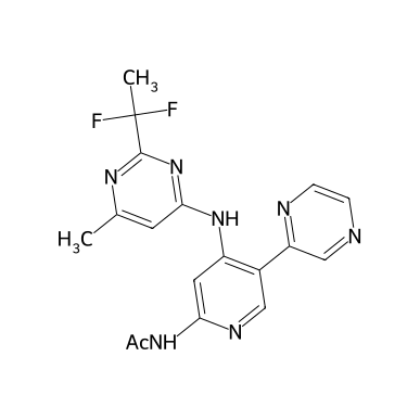 CC(=O)Nc1cc(Nc2cc(C)nc(C(C)(F)F)n2)c(-c2cnccn2)cn1